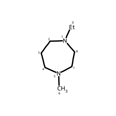 [CH2]CN1CCCN(C)CC1